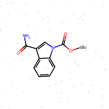 CC(C)(C)OC(=O)n1cc(C(N)=O)c2ccccc21